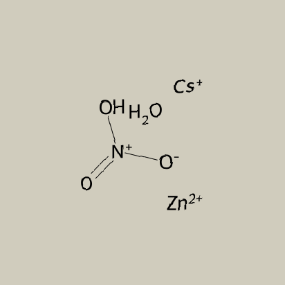 O.O=[N+]([O-])O.[Cs+].[Zn+2]